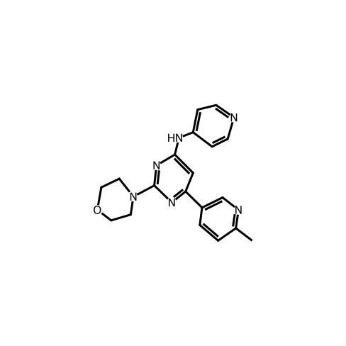 Cc1ccc(-c2cc(Nc3ccncc3)nc(N3CCOCC3)n2)cn1